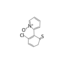 [O-][n+]1ccccc1C1=C(Cl)C=CCC1=S